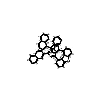 c1ccc(C2N=C(c3ccc4ccccc4c3)N=C(c3cccc4oc5cccc(-c6ccc(-c7cccc8ccccc78)cc6)c5c34)N2)cc1